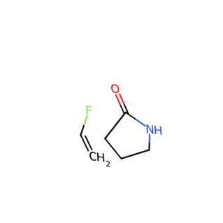 C=CF.O=C1CCCN1